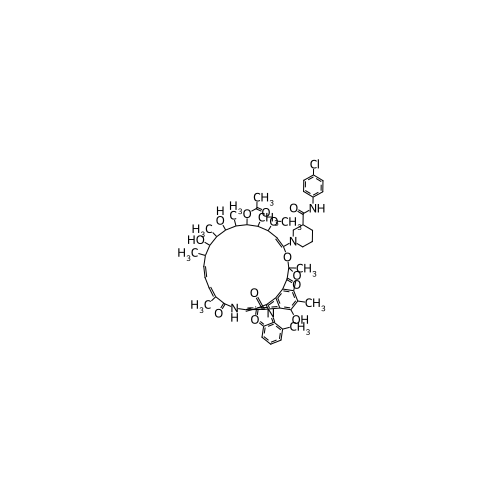 COC1C=C(N2CCCC(C(=O)Nc3ccc(Cl)cc3)C2)OC2(C)Oc3c(C)c(O)c4c(=O)c(c5oc6cccc(C)c6nc-5c4c3C2=O)NC(=O)C(C)=CC=CC(C)C(O)C(C)C(O)C(C)C(OC(C)=O)C1C